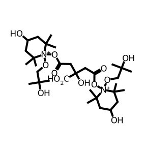 CC(C)(O)CO[N+]1(OC(=O)CC(O)(CC(=O)O[N+]2(OCC(C)(C)O)C(C)(C)CC(O)CC2(C)C)C(=O)O)C(C)(C)CC(O)CC1(C)C